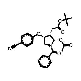 CC(=O)O[C@H]1[C@@H](CC(=O)OC(C)(C)C)[C@H](Oc2ccc(C#N)cc2)CN1C(=O)c1ccccc1